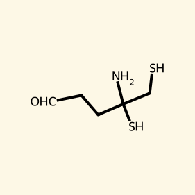 NC(S)(CS)CCC=O